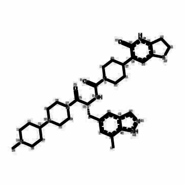 Cc1cc(C[C@@H](NC(=O)N2CCC(c3cc4c([nH]c3=O)CCS4)CC2)C(=O)N2CCN(C3CCN(C)CC3)CC2)cc2cn[nH]c12